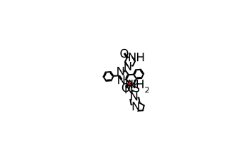 NC(=O)c1nc(-c2ccccc2)nc(N2CCNC(=O)C2)c1-c1ccccc1-c1nnc(N2CCN3CCCC3C2)s1